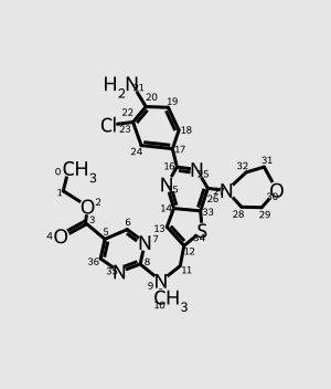 CCOC(=O)c1cnc(N(C)Cc2cc3nc(-c4ccc(N)c(Cl)c4)nc(N4CCOCC4)c3s2)nc1